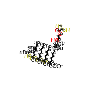 CC(C)CCCCCC(S)C(=O)[O-].CC(C)CCCCCC(S)C(=O)[O-].CC(C)CCCCCC(S)C(=O)[O-].CC(C)CCCCCC(S)C(=O)[O-].CCC[CH2][Sn+2][CH2]CCC.CCC[CH2][Sn][CH2]CCC.O=C(OCCO)C(S)S